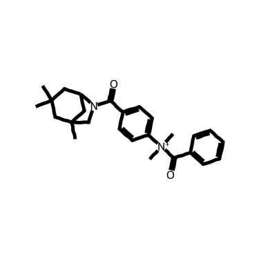 CC1(C)CC2CC(C)(CN2C(=O)c2ccc([N+](C)(C)C(=O)c3ccccc3)cc2)C1